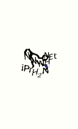 CCc1ccc(CCc2cccnc2N(CCNC/C=C\N)CCC(C)C)cn1